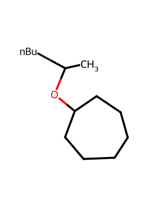 [CH2]CCCC(C)OC1CCCCCC1